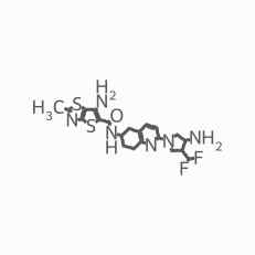 Cc1nc2sc(C(=O)NC3CCc4nc(N5CC(N)C(C(F)F)C5)ccc4C3)c(N)c2s1